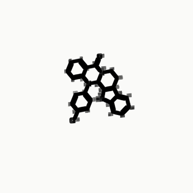 O=C1c2ccccc2N(c2ccc(Cl)cc2)C2c3[nH]c4ccccc4c3CCN12